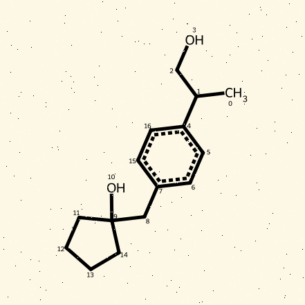 CC(CO)c1ccc(CC2(O)CCCC2)cc1